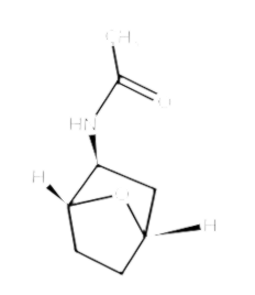 CC(=O)N[C@H]1C[C@@H]2CC[C@H]1O2